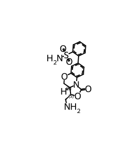 NC[C@@H]1OC(=O)N2c3ccc(-c4ccccc4S(N)(=O)=O)cc3OC[C@@H]12